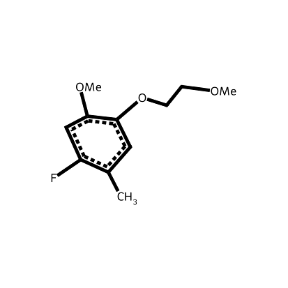 COCCOc1cc(C)c(F)cc1OC